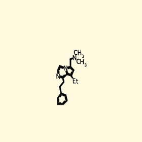 CCc1cc(CN(C)C)n2ccnc(CCc3ccccc3)c12